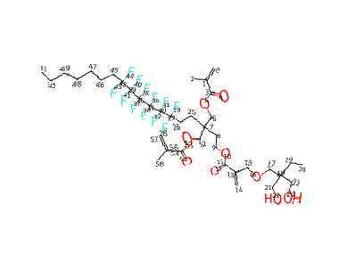 C=C(C)C(=O)OCC(CCOC(=O)C(=C)COCC(CC)(CO)CO)(CCC(F)(F)C(F)(F)C(F)(F)C(F)(F)C(F)(F)C(F)(F)CCCCCCC)COC(=O)C(=C)C